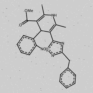 COC(=O)C1=C(C)NC(C)=C(c2nc(Cc3ccccc3)no2)C1c1ccccc1[N+](=O)[O-]